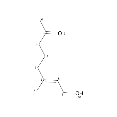 CC(=O)CCCC(C)=CCO